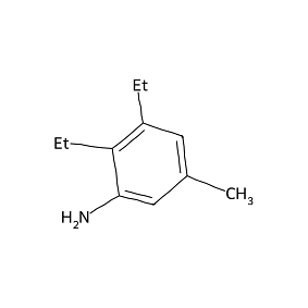 CCc1cc(C)cc(N)c1CC